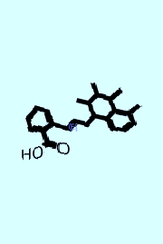 Cc1cccc2c1C(C)C(C)C(C)C2C/C=C/c1ccccc1C(=O)O